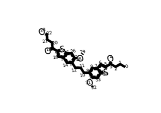 CCCC(=O)c1cc2cc(CCCc3cc4cc(C(=O)CCC=O)sc4cc3OC)c(OC)cc2s1